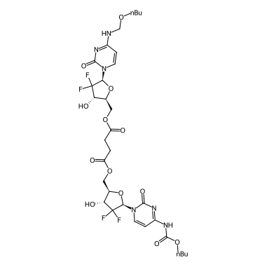 CCCCOCNc1ccn([C@H]2O[C@@H](COC(=O)CCC(=O)OC[C@H]3O[C@@H](n4ccc(NC(=O)OCCCC)nc4=O)C(F)(F)[C@@H]3O)[C@H](O)C2(F)F)c(=O)n1